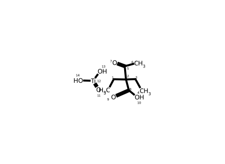 CCC(CC)(C(C)=O)C(=O)O.[O]=[Ti]([OH])[OH]